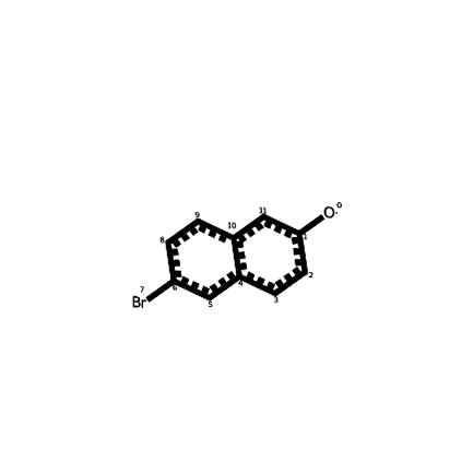 [O]c1ccc2cc(Br)ccc2c1